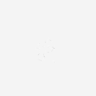 [2H]C(C)(Br)c1cc(C)cc2c(=O)n(C([2H])([2H])[2H])c3c(C(=O)OC(C)(C)C)ncn3c12